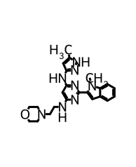 Cc1cc(Nc2cc(NCCN3CCOCC3)nc(-c3cc4ccccc4n3C)n2)n[nH]1